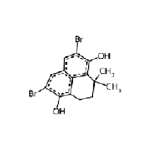 CC1(C)CCc2c(O)c(Br)cc3cc(Br)c(O)c1c23